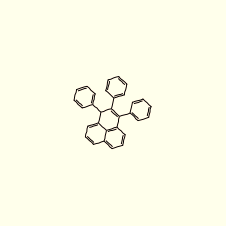 c1ccc(C2=C(c3ccccc3)C(c3ccccc3)c3cccc4cccc2c34)cc1